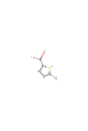 O=C(I)c1ccc(Cl)s1